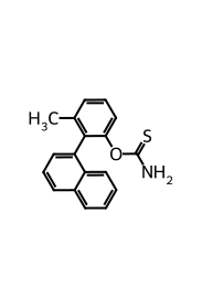 Cc1cccc(OC(N)=S)c1-c1cccc2ccccc12